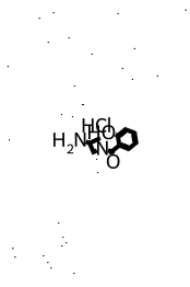 Cl.NC1CN(C(=O)c2ccccc2O)C1